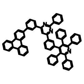 c1ccc(-c2nc(-c3cccc(-c4ccc5c6ccccc6c6ccccc6c5c4)c3)cc(-c3cccc(-c4c(-c5ccccc5)c(-c5ccccc5)nc(-c5ccccc5)c4-c4ccccc4)c3)n2)cc1